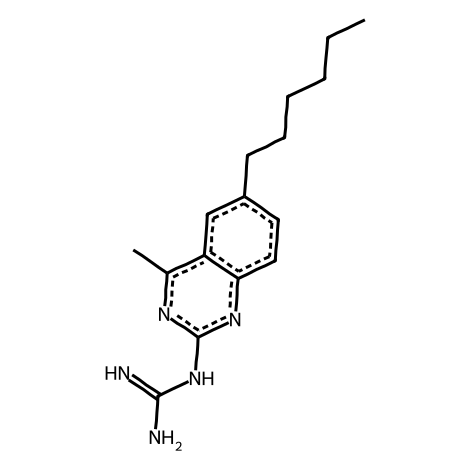 CCCCCCc1ccc2nc(NC(=N)N)nc(C)c2c1